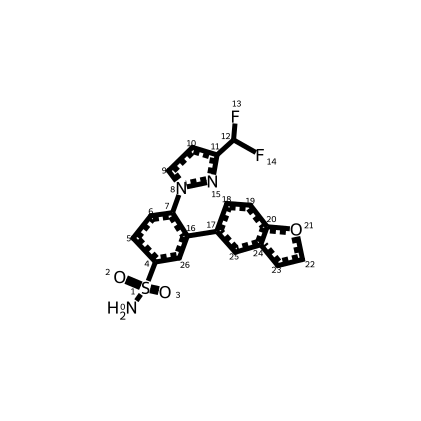 NS(=O)(=O)c1ccc(-n2ccc(C(F)F)n2)c(-c2ccc3occc3c2)c1